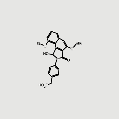 CCCCOc1cc2cccc(OCC)c2c2c1C(=O)N(c1ccc(CC(=O)O)cc1)C2O